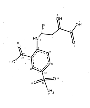 C[C@H](CC(=N)C(=O)O)Nc1ccc(S(N)(=O)=O)cc1[N+](=O)[O-]